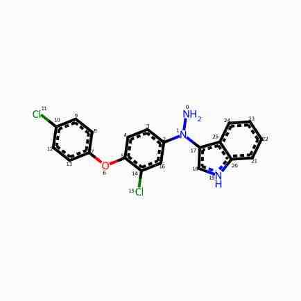 NN(c1ccc(Oc2ccc(Cl)cc2)c(Cl)c1)c1c[nH]c2ccccc12